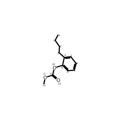 CCCCc1ccccc1OC(=O)OC